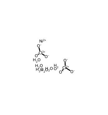 O.O.O.O.O.O.[Ni+2].[O-][Cl+2]([O-])[O-].[O-][Cl+2]([O-])[O-]